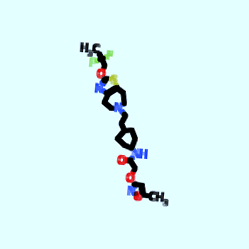 Cc1cc(OCC(=O)NC2CCC(CCN3CCc4nc(OCC(C)(F)F)sc4CC3)CC2)no1